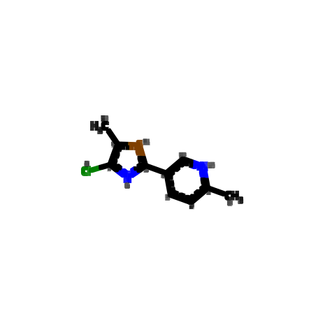 Cc1ccc(-c2nc(Cl)c(C)s2)cn1